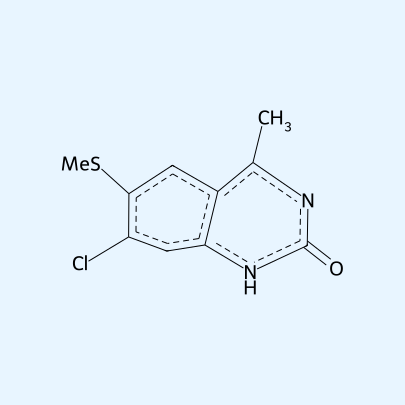 CSc1cc2c(C)nc(=O)[nH]c2cc1Cl